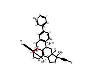 CC#C[C@]1(O)CC[C@H]2C3=C4[C@H](C[C@@]21C)c1ccc(-c2cccnc2)cc1C[C@@]41CCC(=O)C=C1CC3